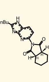 CCCCc1nc2nc(N3C(=O)[C@H]4CCCC[C@H]4C3=O)ccc2[nH]1